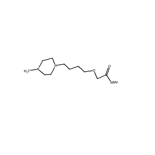 CNC(=O)COCCCCN1CCN(C)CC1